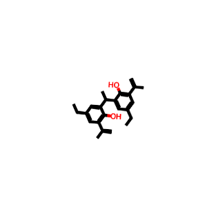 C=C(C)c1cc(CC)cc(C(C)c2cc(CC)cc(C(=C)C)c2O)c1O